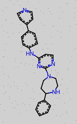 c1ccc(C2CCN(c3nccc(Nc4ccc(-c5ccncc5)cc4)n3)CCN2)cc1